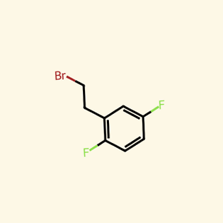 Fc1ccc(F)c(CCBr)c1